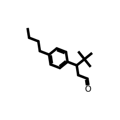 CCCCc1ccc(C(CC=O)C(C)(C)C)cc1